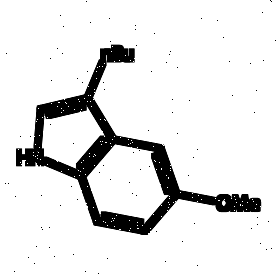 [CH2]CCCc1c[nH]c2ccc(OC)cc12